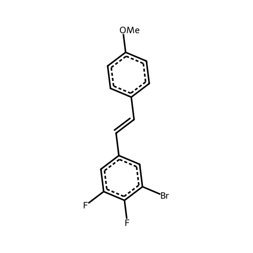 COc1ccc(C=Cc2cc(F)c(F)c(Br)c2)cc1